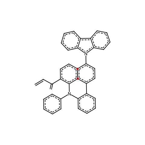 C=CC(=C)c1ccccc1N(c1ccccc1)c1ccccc1-c1ccc(-n2c3ccccc3c3ccccc32)cc1